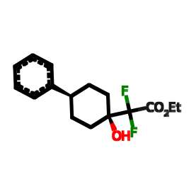 CCOC(=O)C(F)(F)[C@]1(O)CC[C@@H](c2ccccc2)CC1